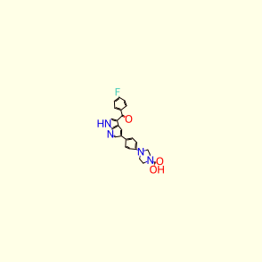 O=C(c1ccc(F)cc1)c1c[nH]c2ncc(-c3ccc(N4CCN(C(=O)O)CC4)cc3)cc12